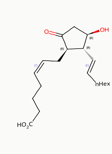 CCCCCC/C=C/[C@H]1[C@H](O)CC(=O)[C@@H]1C/C=C\CCCC(=O)O